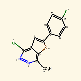 O=C(O)c1nnc(Cl)c2cc(-c3ccc(F)cc3)sc12